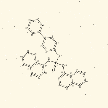 O=P(Oc1ccc(-c2ccccc2)cc1)(Oc1cccc2ccccc12)Oc1cccc2ccccc12